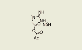 CC(=O)C(=O)OC(=O)CN(C)C(=N)N.[NaH]